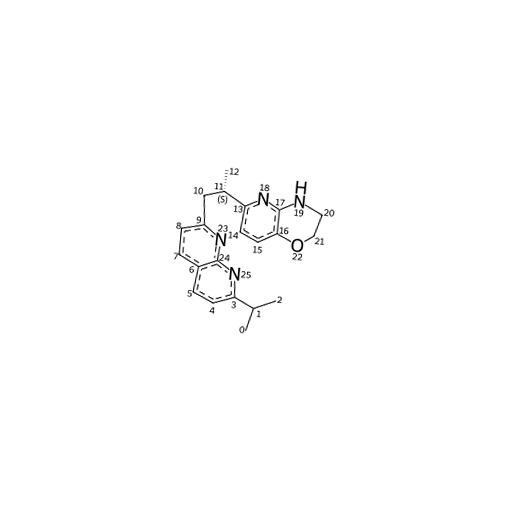 CC(C)c1ccc2ccc(C[C@H](C)c3ccc4c(n3)NCCO4)nc2n1